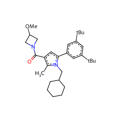 COC1CN(C(=O)c2cc(-c3cc(C(C)(C)C)cc(C(C)(C)C)c3)n(CC3CCCCC3)c2C)C1